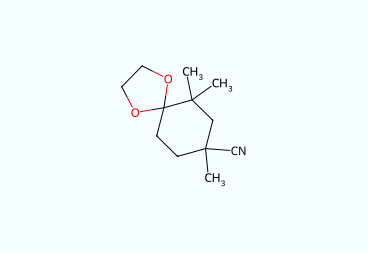 CC1(C#N)CCC2(OCCO2)C(C)(C)C1